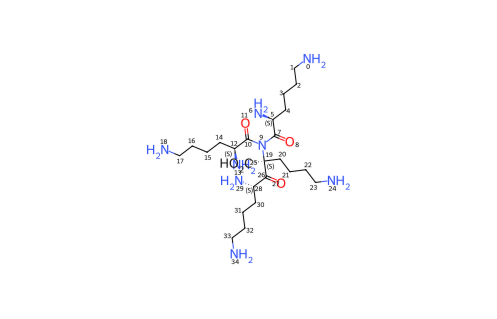 NCCCC[C@H](N)C(=O)N(C(=O)[C@@H](N)CCCCN)[C@](CCCCN)(C(=O)O)C(=O)[C@@H](N)CCCCN